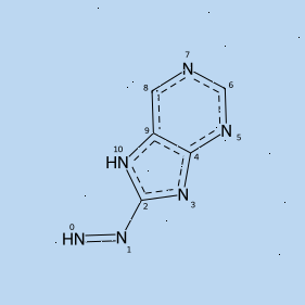 N=Nc1nc2ncn[c]c2[nH]1